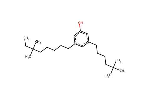 CCC(C)(C)CCCCCc1cc(O)cc(CCCCC(C)(C)C)c1